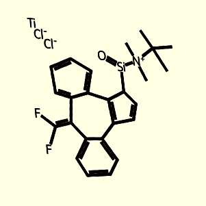 CC(C)(C)[N+](C)(C)[Si](=O)C1C=CC2=C1c1ccccc1C(=C(F)F)c1ccccc12.[Cl-].[Cl-].[Ti]